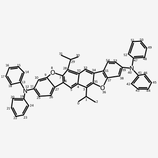 CC(C)c1c2cc3c(oc4cc(N(c5ccccc5)c5ccccc5)ccc43)c(C(C)C)c2cc2c1oc1cc(N(c3ccccc3)c3ccccc3)ccc12